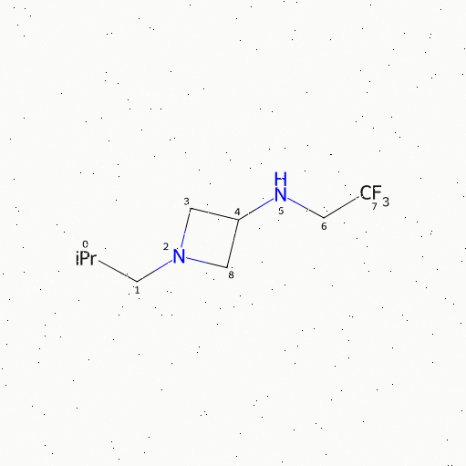 CC(C)CN1CC(NCC(F)(F)F)C1